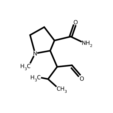 CC(C)C(C=O)C1C(C(N)=O)CCN1C